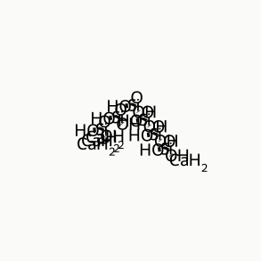 O=[Si](O)O.O=[Si](O)O.O=[Si](O)O.O=[Si](O)O.O=[Si](O)O.O=[Si](O)O.[CaH2].[CaH2].[CaH2].[CaH2]